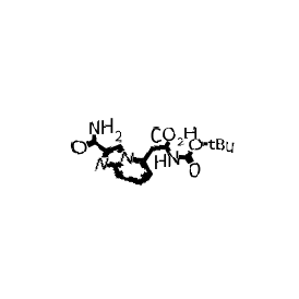 CC(C)(C)OC(=O)NC(Cc1cccc2nc(C(N)=O)cn12)C(=O)O